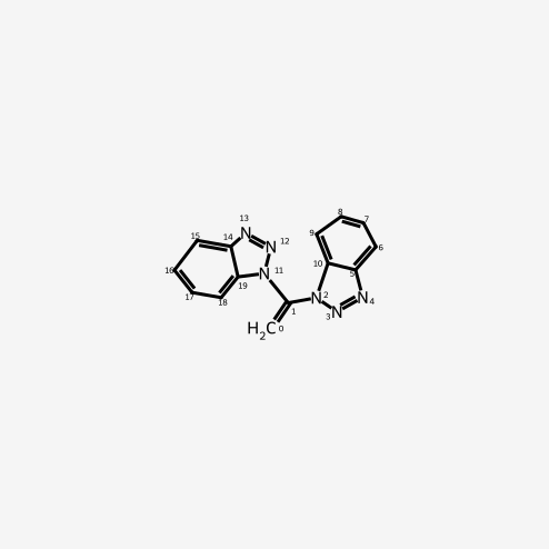 C=C(n1nnc2ccccc21)n1nnc2ccccc21